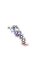 CC(C)(C)CCNc1nc(N)c2c(n1)OCCN(c1ccc([C@H]3CC[C@H](CC(=O)O)CC3)cc1)C2=O